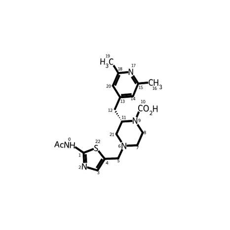 CC(=O)Nc1ncc(CN2CCN(C(=O)O)[C@@H](Cc3cc(C)nc(C)c3)C2)s1